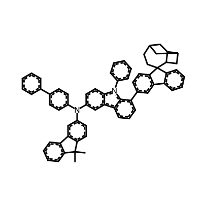 CC1(C)c2ccccc2-c2cc(N(c3ccc(-c4ccccc4)cc3)c3ccc4c(c3)c3cccc(-c5ccc6c(c5)-c5ccccc5C65CCC6CC7CC5C7C6)c3n4-c3ccccc3)ccc21